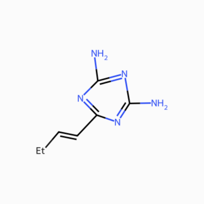 CC/C=C/c1nc(N)nc(N)n1